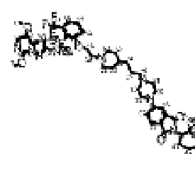 COc1cnc(OC)n2nc(NS(=O)(=O)c3c(OCCN4CCC(CCCN5CCN(c6ccc7c(c6)C(=O)N(C6CCC(=O)NC6=O)C7=O)CC5)CC4)cccc3C(F)(F)F)nc12